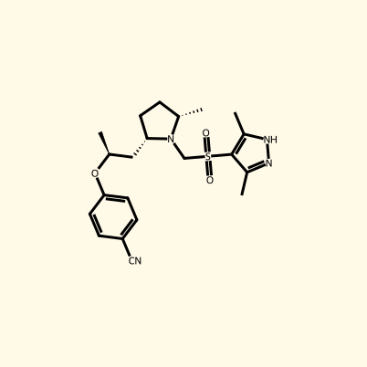 Cc1n[nH]c(C)c1S(=O)(=O)CN1[C@H](C[C@H](C)Oc2ccc(C#N)cc2)CC[C@@H]1C